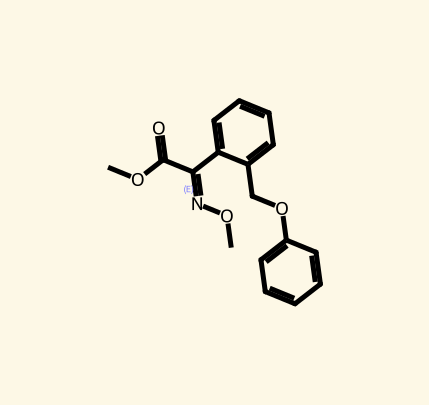 CO/N=C(/C(=O)OC)c1ccccc1COc1ccccc1